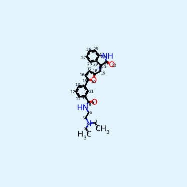 CCN(CC)CCNC(=O)c1cccc(-c2ccc(/C=C3/C(=O)Nc4ccccc43)o2)c1